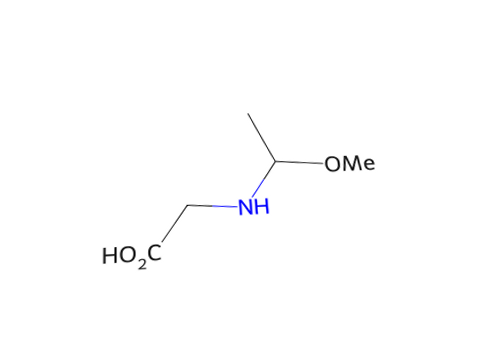 COC(C)NCC(=O)O